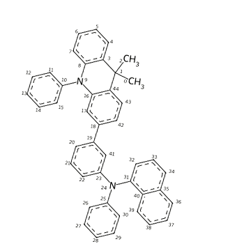 CC1(C)c2ccccc2N(c2ccccc2)c2cc(-c3cccc(N(c4ccccc4)c4cccc5ccccc45)c3)ccc21